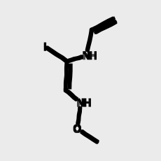 C=CN/C(I)=C\NOC